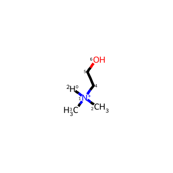 [2H][N+](C)(C)CCO